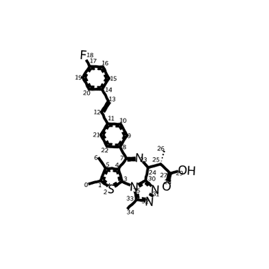 Cc1sc2c(c1C)C(c1ccc(C=Cc3ccc(F)cc3)cc1)=NC([C@H](C)C(=O)O)c1nnc(C)n1-2